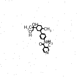 CC1=C(c2ccc(NC(=O)c3ccncc3C)cc2)CC(C(C)(O)CO)CC1